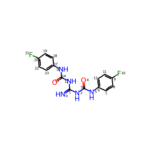 N=C(NC(=O)Nc1ccc(F)cc1)NC(=O)Nc1ccc(F)cc1